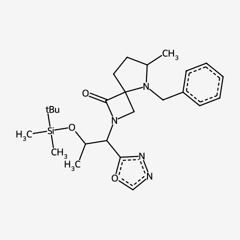 CC(O[Si](C)(C)C(C)(C)C)C(c1nnco1)N1CC2(CCC(C)N2Cc2ccccc2)C1=O